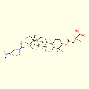 CN(C)[C@@H]1CCN(C(=O)C[C@]23CCC[C@@H]2[C@H]2CCC4[C@@]5(C)CC[C@H](OC(=O)CC(C)(C)C(=O)O)C(C)(C)C5CC[C@@]4(C)[C@]2(C)CC3)C1